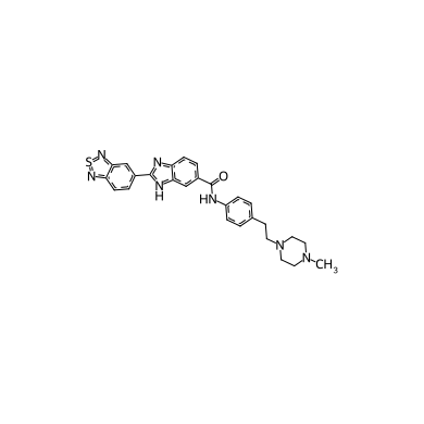 CN1CCN(CCc2ccc(NC(=O)c3ccc4nc(-c5ccc6nsnc6c5)[nH]c4c3)cc2)CC1